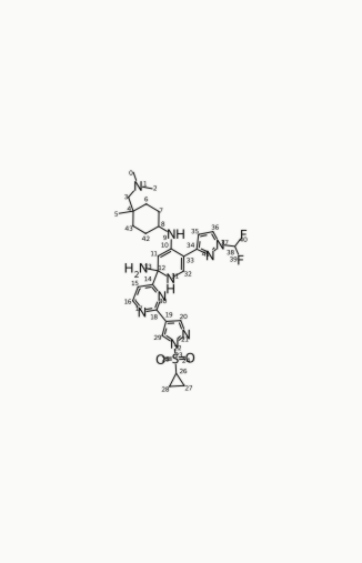 CN(C)CC1(C)CCC(NC2=CC(N)(c3ccnc(-c4cnn(S(=O)(=O)C5CC5)c4)n3)NC=C2c2ccn(C(F)F)n2)CC1